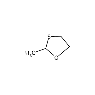 C[C]1OCCS1